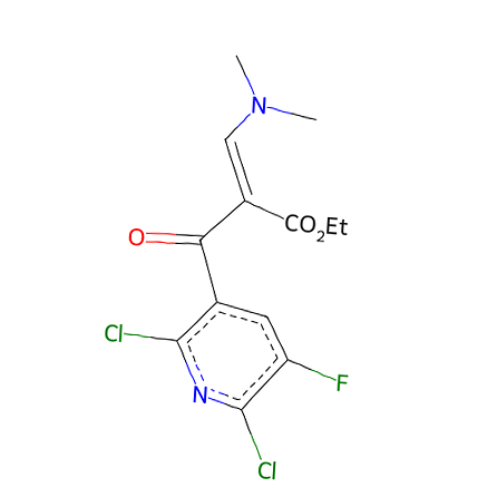 CCOC(=O)/C(=C\N(C)C)C(=O)c1cc(F)c(Cl)nc1Cl